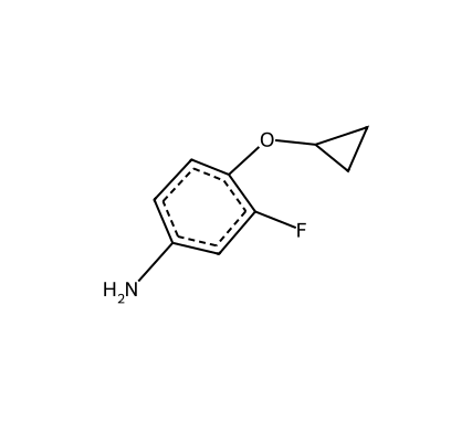 Nc1ccc(OC2CC2)c(F)c1